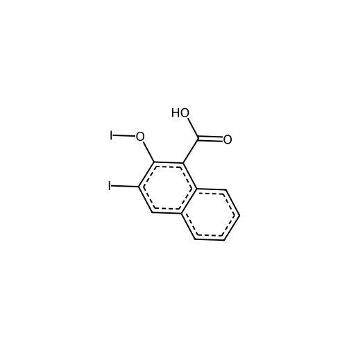 O=C(O)c1c(OI)c(I)cc2ccccc12